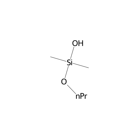 CCCO[Si](C)(C)O